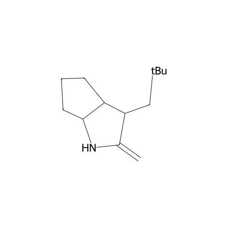 C=C1NC2CCCC2C1CC(C)(C)C